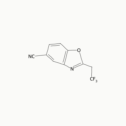 N#Cc1ccc2oc(CC(F)(F)F)nc2c1